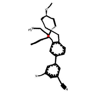 CO[C@H]1CC[C@]2(CC1)Cc1ccc(-c3cc(Br)cc(C#N)c3)cc1C21N=C(C)C(N)=N1